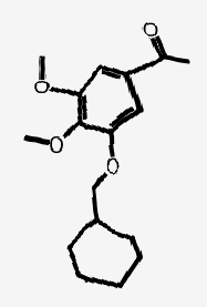 COc1cc(C(C)=O)cc(OCC2CCCCC2)c1OC